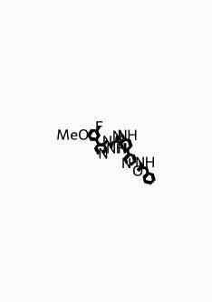 COc1cc(F)cc(-c2ccnc3[nH]c(-c4n[nH]c5ccc(-c6cncc(NC(=O)Cc7ccccc7)c6)nc45)nc23)c1